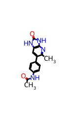 CC(=O)Nc1ccc(-c2cc3[nH]c(=O)[nH]c3nc2C)cc1